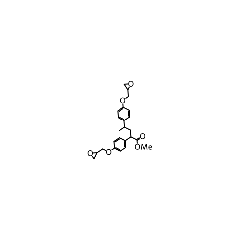 COC(=O)C(CC(C)c1ccc(OCC2CO2)cc1)c1ccc(OCC2CO2)cc1